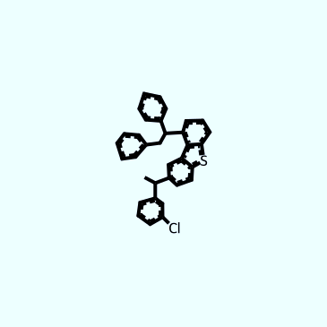 CC(c1cccc(Cl)c1)c1ccc2sc3cccc(C(Cc4ccccc4)c4ccccc4)c3c2c1